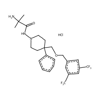 CC(C)(N)C(=O)NN1CCC(COCc2cc(C(F)(F)F)cc(C(F)(F)F)c2)(c2ccccc2)CC1.Cl